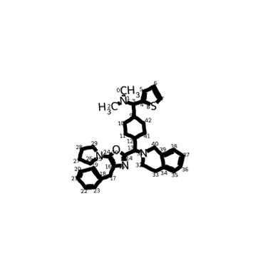 CN(C)C(c1cccs1)C1CCC(C(c2nc(Cc3ccccc3)c(N3CCCC3)o2)N2CCc3ccccc3C2)CC1